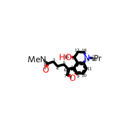 CNC(=O)CCCc1coc2ccc3c(c12)C(O)CCN3C(C)C